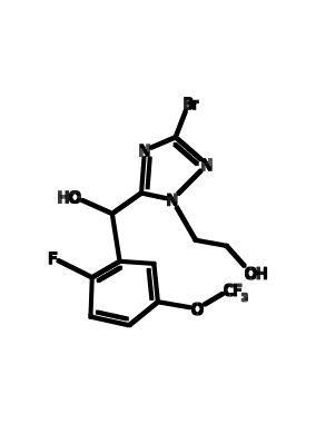 OCCn1nc(Br)nc1C(O)c1cc(OC(F)(F)F)ccc1F